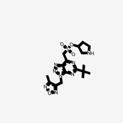 Cc1nonc1Cn1nnc2c(CS(=O)(=O)OC3CCNC3)nc(C(C)(C)C)nc21